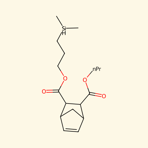 CCCOC(=O)C1C2C=CC(C2)C1C(=O)OCCC[SiH](C)C